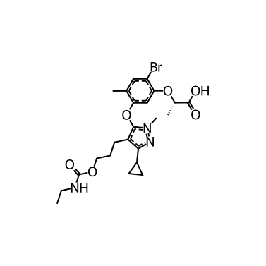 CCNC(=O)OCCCc1c(C2CC2)nn(C)c1Oc1cc(O[C@@H](C)C(=O)O)c(Br)cc1C